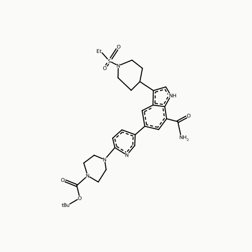 CCS(=O)(=O)N1CCC(c2c[nH]c3c(C(N)=O)cc(-c4ccc(N5CCN(C(=O)OC(C)(C)C)CC5)nc4)cc23)CC1